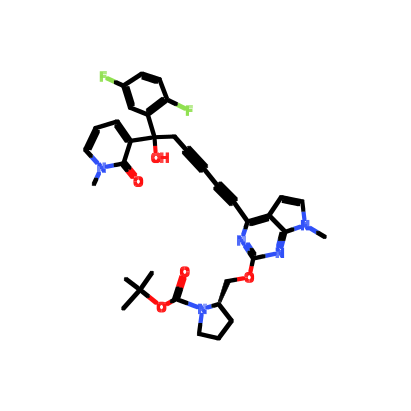 Cn1cccc(C(O)(CC#CC#Cc2nc(OC[C@H]3CCCN3C(=O)OC(C)(C)C)nc3c2ccn3C)c2cc(F)ccc2F)c1=O